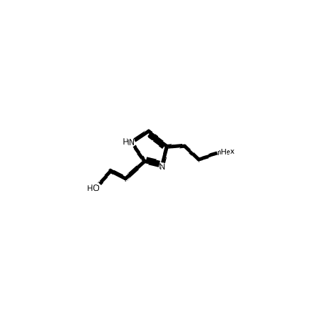 CCCCCCCCc1c[nH]c(CCO)n1